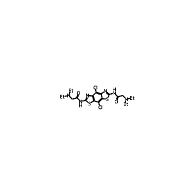 CCN(CC)CC(=O)Nc1nc2c(Cl)c3nc(NC(=O)CN(CC)CC)sc3c(Cl)c2s1